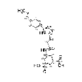 CCOc1ccc(-c2nnc(SCC(=O)Nc3cc(C(=O)O)cc(C(=O)O)c3)[nH]2)cc1